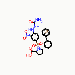 NC(=O)NNc1ccc(S(=O)(=O)N2CCCC2C(=O)O)cc1[N+](=O)[O-].c1ccc(C2Sc3ccc2cc3)cc1